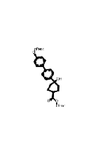 CCCCCOC(=O)C1CCC(O)(c2ccc(-c3ccc(OCCCCC)cc3)cc2)CC1